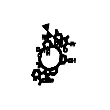 CCn1c(-c2cccnc2[C@H](C)OC)c2c3cc(ccc31)-c1cc(O)cc(c1)C[C@H](NC(=O)[C@H](C(C)C)N(C)C(=O)CN(C)C(=O)[C@@H]1N[C@@H]1C1CC1)C(=O)N1CCC[C@H](N1)C(=O)OCC(C)(C)C2